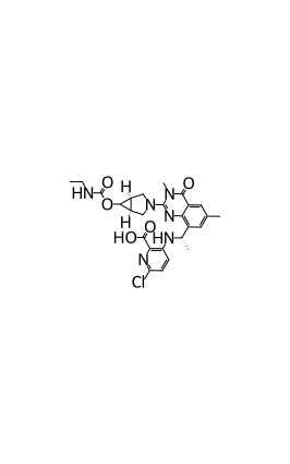 CCNC(=O)OC1[C@H]2CN(c3nc4c([C@H](C)Nc5ccc(Cl)nc5C(=O)O)cc(C)cc4c(=O)n3C)C[C@@H]12